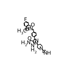 COc1ccc(F)cc1C(=O)NCc1ccc(-c2nn(C3CCN(C4CNC4)CC3)c(N)c2C(N)=O)cc1